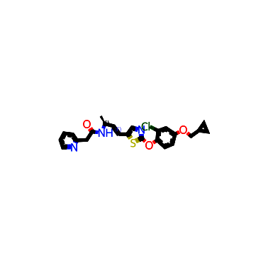 C[C@@H](/C=C/c1cnc(Oc2ccc(OCC3CC3)cc2Cl)s1)NC(=O)Cc1ccccn1